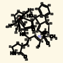 CS(=O)(=O)/C(F)=C/[C@@H](C[C@@H]1CCNC1=O)NC(=O)[C@@H]1[C@@H]2CC[C@@H](CC2(F)F)N1C(=O)C1(O)c2ccccc2-c2ccccc21